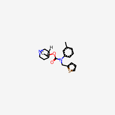 Cc1cccc(N(Cc2cccs2)C(=O)O[C@H]2CN3CCC2CC3)c1